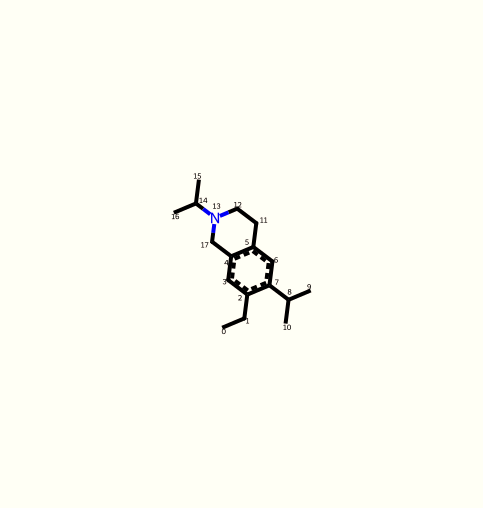 CCc1cc2c(cc1C(C)C)CCN(C(C)C)C2